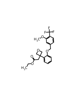 CCOC(=O)CC1(c2ccccc2OCc2ccc(C(F)(F)F)c(OC)c2)COC1